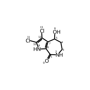 O=C1NCCC(O)c2c1[nH]c(Cl)c2Cl